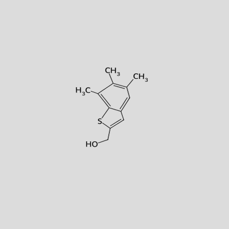 Cc1cc2cc(CO)sc2c(C)c1C